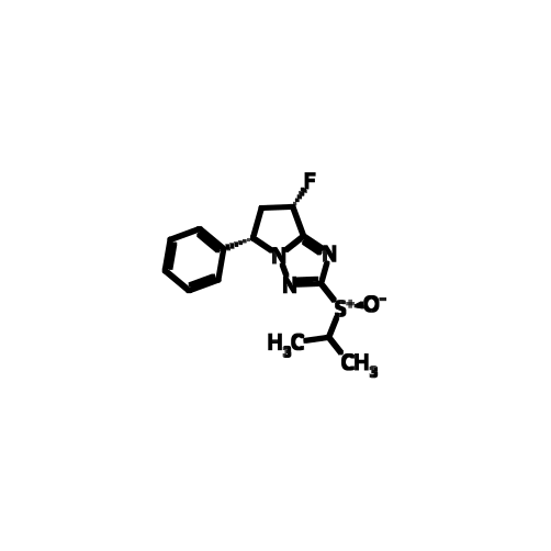 CC(C)[S@+]([O-])c1nc2n(n1)[C@H](c1ccccc1)C[C@@H]2F